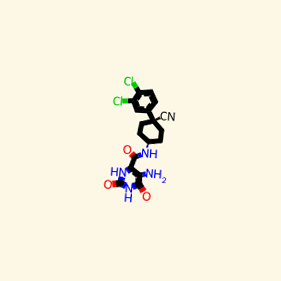 N#C[C@]1(c2ccc(Cl)c(Cl)c2)CC[C@@H](NC(=O)c2[nH]c(=O)[nH]c(=O)c2N)CC1